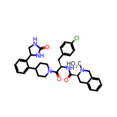 O=C1NCC(c2ccccc2C2CCN(C(=O)[C@@H](Cc3ccc(Cl)cc3)NC(=O)[C@@H]3Cc4ccccc4CN3C(=O)O)CC2)N1